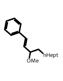 CCCCCCCCC(/C=C/c1ccccc1)OC